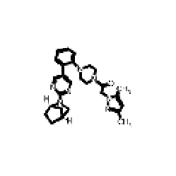 Cc1cc(C)n(CC(=O)N2CCN(c3ccccc3-c3cnc(N4C[C@H]5CC[C@@H]4C5)nc3)CC2)n1